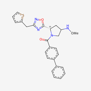 CONC1C[C@@H](c2nc(Cc3cccs3)no2)N(C(=O)c2ccc(-c3ccccc3)cc2)C1